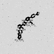 C=CC(=O)Nc1cc(Nc2nc(-c3ccnc(N4CCn5c(cc6c5CC(C)(C)C6)C4=O)c3CO)cn(C)c2=O)ccc1C1CCN(C2COC2)CC1